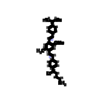 CCCCN(CCCC)c1ccc(/C=C/c2cc(C)c(/C=C/c3ccc(N(CC)CCCN)cc3)cc2OC)cc1